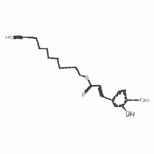 C#CCCCCCCCCOC(=O)/C=C/c1ccc(O)c(O)c1